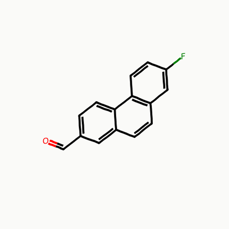 O=Cc1ccc2c(ccc3cc(F)ccc32)c1